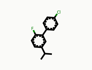 CC(C)c1ccc(F)c(-c2ccc(Cl)cc2)c1